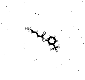 C=CCCC(=O)Oc1cccc(C(F)(F)F)c1